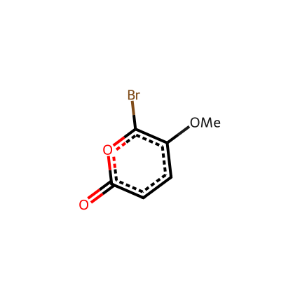 COc1ccc(=O)oc1Br